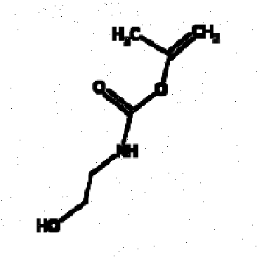 C=C(C)OC(=O)NCCO